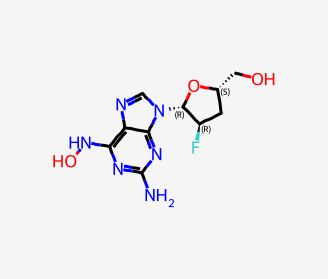 Nc1nc(NO)c2ncn([C@@H]3O[C@H](CO)C[C@H]3F)c2n1